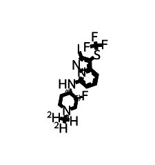 [2H]C([2H])([2H])N1CC[C@@H](Nc2cccc3c(SC(F)(F)F)c(I)nn23)[C@@H](F)C1